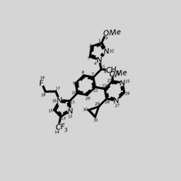 COc1ccn(C(C)c2ccc(-c3nc(C(F)(F)F)cn3CCF)cc2-c2c(OC)ncnc2C2CC2)n1